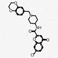 O=C(NC1CCN(Cc2ccc3c(c2)OCCO3)CC1)c1cc(=O)c2ccc(Cl)cc2o1